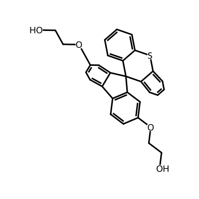 OCCOc1ccc2c(c1)C1(c3ccccc3Sc3ccccc31)c1cc(OCCO)ccc1-2